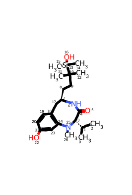 CC(C)[C@H]1C(=O)N[C@H](CCC(C)(C)[Si](C)(C)O)Cc2ccc(O)cc2N1C